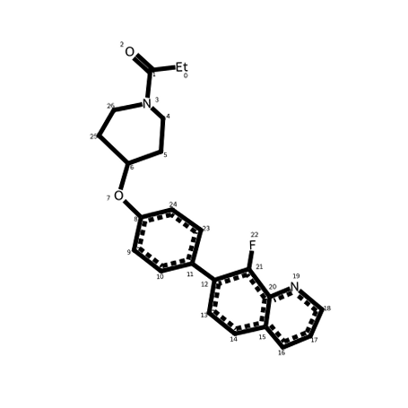 CCC(=O)N1CCC(Oc2ccc(-c3ccc4cccnc4c3F)cc2)CC1